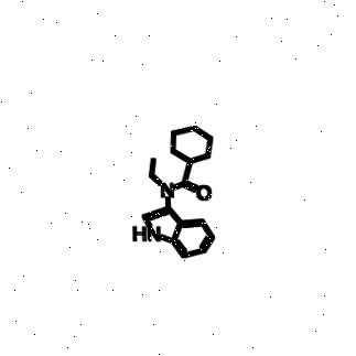 CCN(C(=O)C1CCCCC1)c1c[nH]c2ccccc12